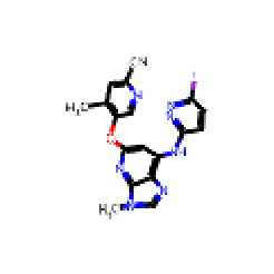 Cc1cc(C#N)ncc1Oc1cc(Nc2ccc(I)nn2)c2ncn(C)c2n1